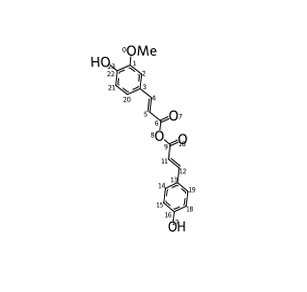 COc1cc(C=CC(=O)OC(=O)/C=C/c2ccc(O)cc2)ccc1O